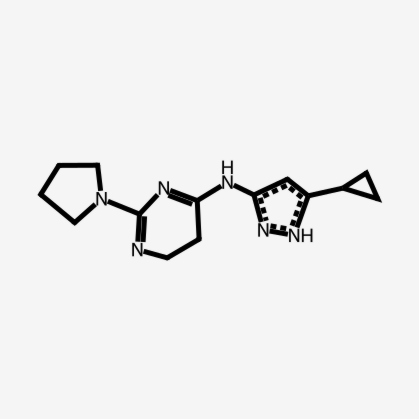 c1c(NC2=NC(N3CCCC3)=NCC2)n[nH]c1C1CC1